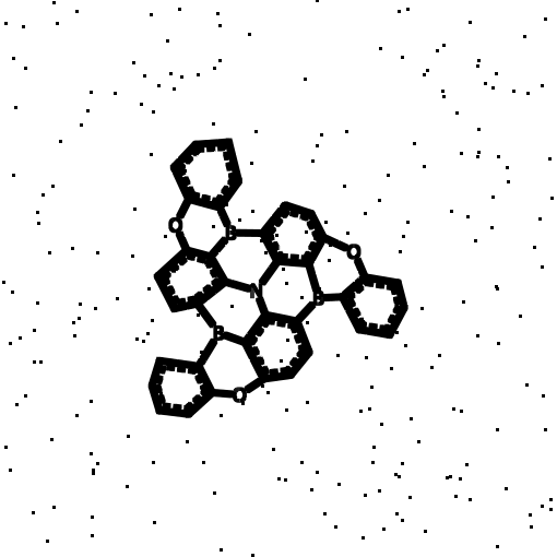 c1ccc2c(c1)Oc1ccc3c4c1B2c1ccc2c5c1N4c1c(ccc4c1B3c1ccccc1O4)B5c1ccccc1O2